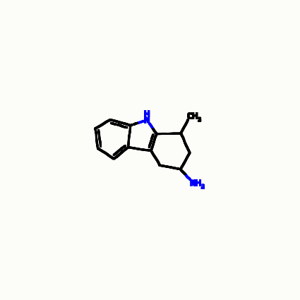 CC1CC(N)Cc2c1[nH]c1ccccc21